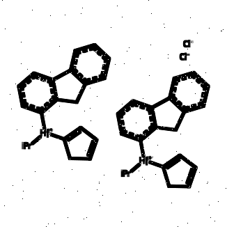 C[CH](C)[Hf+]([C]1=CC=CC1)[c]1cccc2c1Cc1ccccc1-2.C[CH](C)[Hf+]([C]1=CC=CC1)[c]1cccc2c1Cc1ccccc1-2.[Cl-].[Cl-]